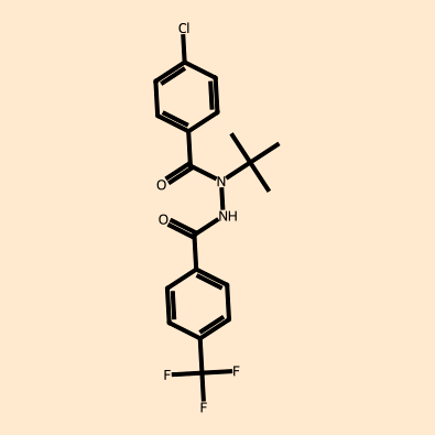 CC(C)(C)N(NC(=O)c1ccc(C(F)(F)F)cc1)C(=O)c1ccc(Cl)cc1